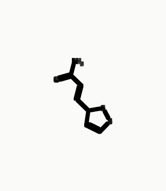 NC(=O)C=CC1C=CSS1